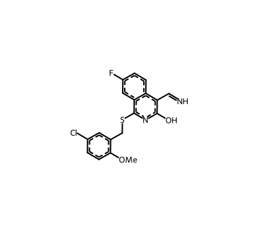 COc1ccc(Cl)cc1CSc1nc(O)c(C=N)c2ccc(F)cc12